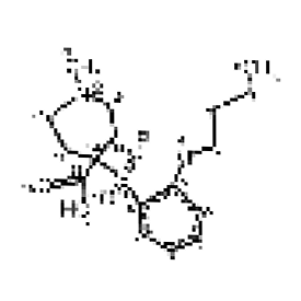 CCCCOc1ccccc1S(=O)(=O)C1(C(=O)O)CCN(C)CC1